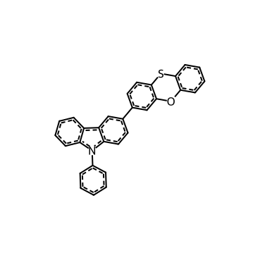 c1ccc(-n2c3ccccc3c3cc(-c4ccc5c(c4)Oc4ccccc4S5)ccc32)cc1